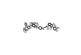 COc1cc(C(=O)N[C@H]2CC[C@@H](N(C)CCCNc3cccc4c3C(=O)N(C3CCC(=O)NC3=O)C4=O)CC2)ccc1NC1=NC2C(C=N1)N(C)C(=O)C(F)(F)CN2C1CCCC1